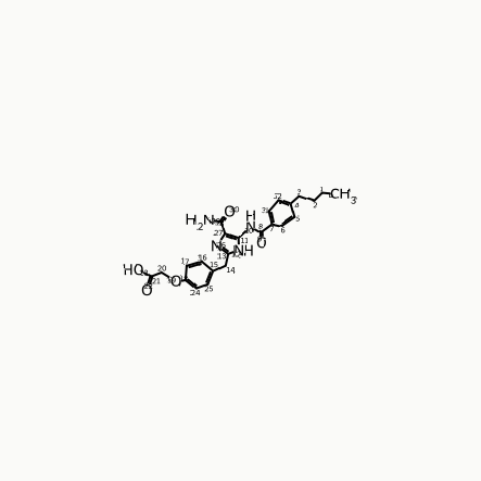 CCCCc1ccc(C(=O)Nc2[nH]c(Cc3ccc(OCC(=O)O)cc3)nc2C(N)=O)cc1